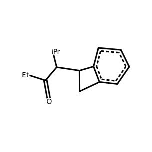 CCC(=O)C(C(C)C)C1Cc2ccccc21